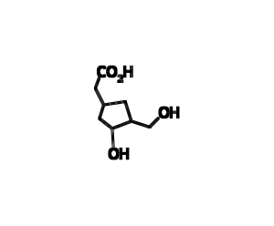 O=C(O)CC1CC(O)C(CO)C1